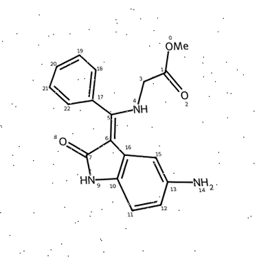 COC(=O)CNC(=C1C(=O)Nc2ccc(N)cc21)c1ccccc1